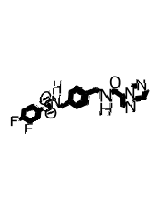 O=C(NCc1ccc(CNS(=O)(=O)c2ccc(F)c(F)c2)cc1)c1cnc2ccncn12